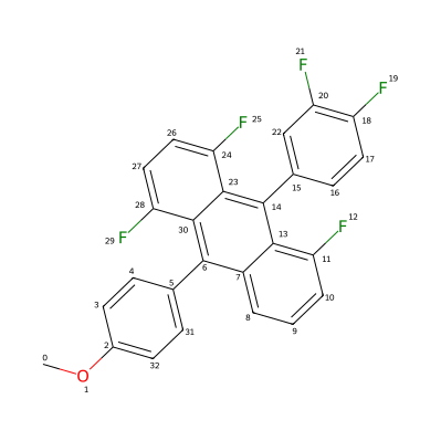 COc1ccc(-c2c3cccc(F)c3c(-c3ccc(F)c(F)c3)c3c(F)ccc(F)c23)cc1